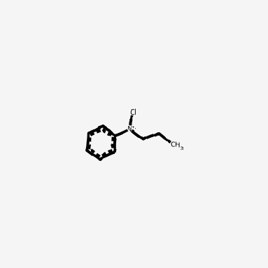 CCC[N+](Cl)c1ccccc1